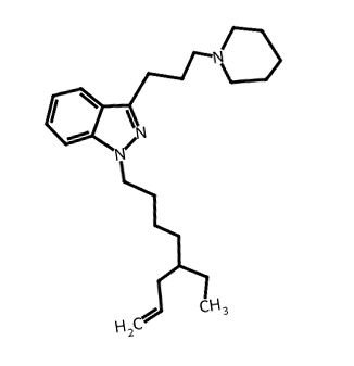 C=CCC(CC)CCCCn1nc(CCCN2CCCCC2)c2ccccc21